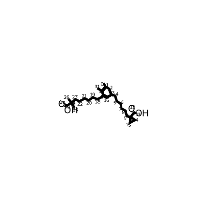 Cc1cc(CCCCCCC2(C(=O)O)CC2)cc(CCCCCCC(C)(C)C(=O)O)c1C